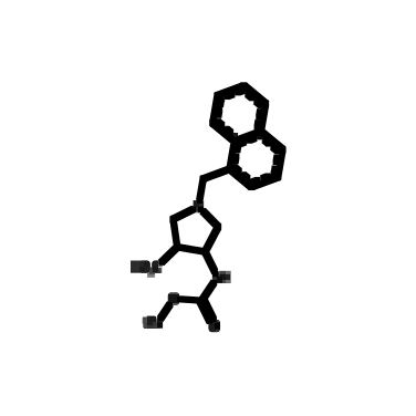 CC(C)(C)OC(=O)NC1CN(Cc2cccc3ccccc23)CC1C(=O)O